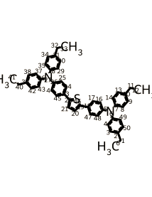 CCc1ccc(N(c2ccc(CC)cc2)c2ccc(-c3ccc(-c4ccc(N(c5ccc(CC)cc5)c5ccc(CC)cc5)cc4)s3)cc2)cc1